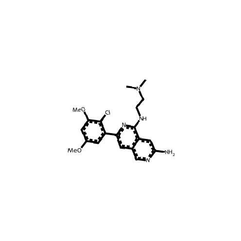 COc1cc(OC)c(Cl)c(-c2cc3cnc(N)cc3c(NCCN(C)C)n2)c1